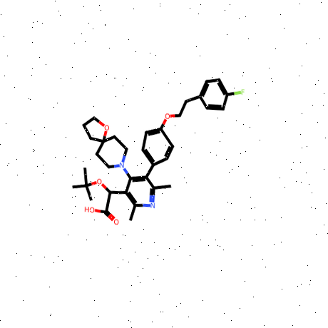 Cc1nc(C)c(C(OC(C)(C)C)C(=O)O)c(N2CCC3(CCCO3)CC2)c1-c1ccc(OCCc2ccc(F)cc2)cc1